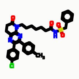 Cc1ccc(-c2nc3c(nc2-c2ccc(Cl)cc2)CCC(=O)N3CCCCCCC(=O)NS(=O)(=O)Cc2ccccc2)cc1